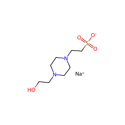 O=S(=O)([O-])CCN1CCN(CCO)CC1.[Na+]